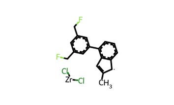 CC1=Cc2c(cccc2-c2cc(CF)cc(CF)c2)[CH]1.[Cl][Zr][Cl]